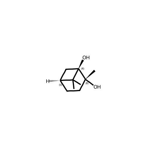 CC1(C)[C@H]2CC[C@@](C)(O)[C@@]1(O)C2